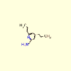 CCCc1cc(CN)nc(CCC)c1